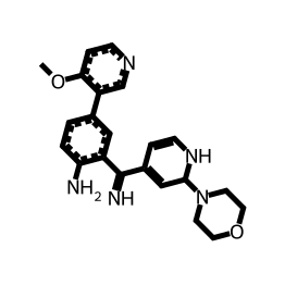 COc1ccncc1-c1ccc(N)c(C(=N)C2=CC(N3CCOCC3)NC=C2)c1